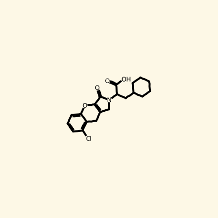 O=C(O)C(CC1CCCCC1)N1CC2=C(Oc3cccc(Cl)c3C2)C1=O